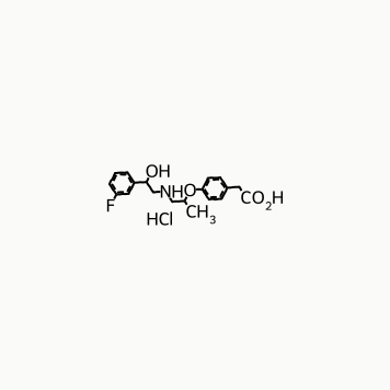 CC(CNCC(O)c1cccc(F)c1)Oc1ccc(CC(=O)O)cc1.Cl